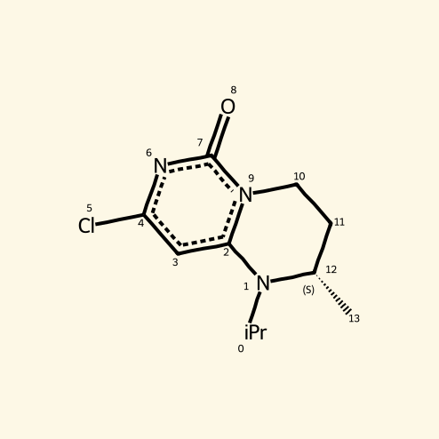 CC(C)N1c2cc(Cl)nc(=O)n2CC[C@@H]1C